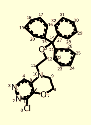 Clc1nncc2c1OCCN2CCOC(c1ccccc1)(c1ccccc1)c1ccccc1